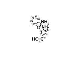 NC(C(=O)Nc1ccc(CC(=O)O)cc1F)C1CCCCCC1